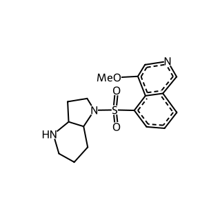 COc1cncc2cccc(S(=O)(=O)N3CCC4NCCCC43)c12